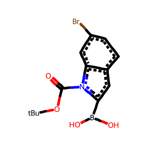 CC(C)(C)OC(=O)n1c(B(O)O)cc2ccc(Br)cc21